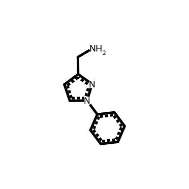 NCc1ccn(-c2ccccc2)n1